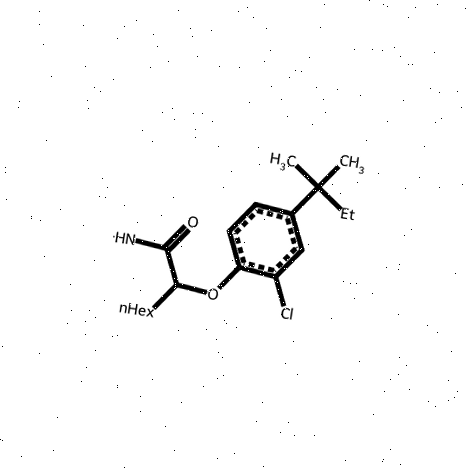 CCCCCCC(Oc1ccc(C(C)(C)CC)cc1Cl)C([NH])=O